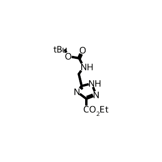 CCOC(=O)c1n[nH]c(CNC(=O)OC(C)(C)C)n1